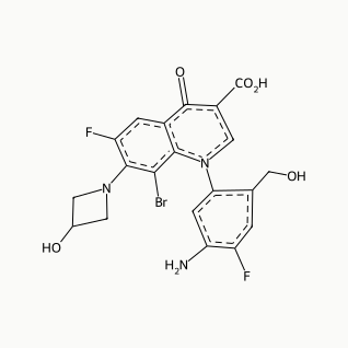 Nc1cc(-n2cc(C(=O)O)c(=O)c3cc(F)c(N4CC(O)C4)c(Br)c32)c(CO)cc1F